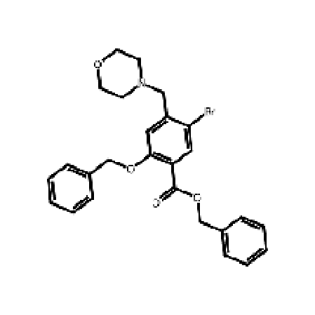 O=C(OCc1ccccc1)c1cc(Br)c(CN2CCOCC2)cc1OCc1ccccc1